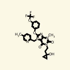 Cc1ccc(Cn2c(Oc3cccc(OC(F)(F)F)c3)nc3c2c(=O)n(CCC2(O)CC2)c(=O)n3C)nc1